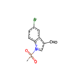 CS(=O)(=O)n1cc(C=O)c2cc(Br)ccc21